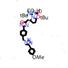 COc1ccc(-c2cn(Cc3ccc(-c4noc(C[C@@H]5CCCN5C(=NC(=O)OC(C)(C)C)N(C(=O)O)C(C)(C)C)n4)cc3)nn2)cc1